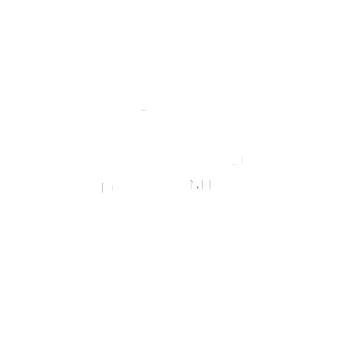 CCc1ccc(CC)c(Nc2cc(CC)ccc2CC)c1